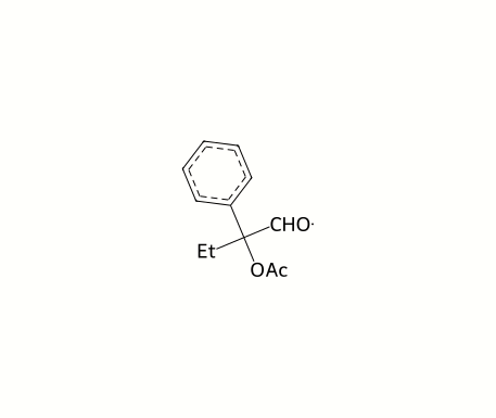 CCC([C]=O)(OC(C)=O)c1ccccc1